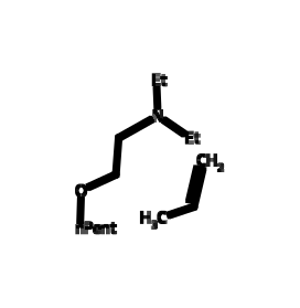 C=CC.CCCCCOCCN(CC)CC